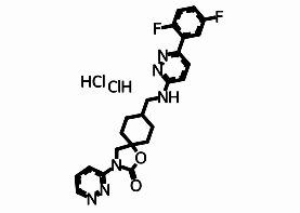 Cl.Cl.O=C1OC2(CCC(CNc3ccc(-c4cc(F)ccc4F)nn3)CC2)CN1c1cccnn1